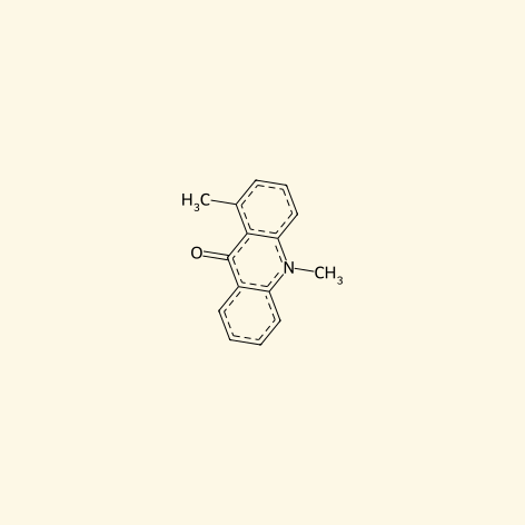 Cc1cccc2c1c(=O)c1ccccc1n2C